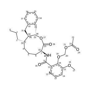 CCC[C@H]1CCC[C@H](NC(=O)c2nccc(OC)c2OCOC(C)=O)C(=O)O[C@@H](C)[C@@H]1Cc1ccccc1